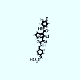 O=C(O)CC1CCC(CNC(=O)C(=O)c2c(Cl)c(C(=O)Nc3ccc(F)c(F)c3)c3n2CCC3)CC1